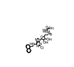 O=P(O)(O)CP(=O)(O)CCC1OC(n2cnc3c(NCc4cccc5ccccc45)nc(Cl)nc32)C(O)C1O